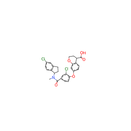 CN(C(=O)c1ccc(Oc2ccc3c(c2)OCCC3C(=O)O)c(Cl)c1)C1CCc2cc(Cl)ccc21